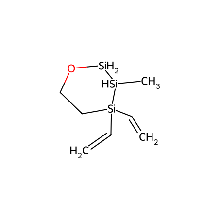 C=C[Si]1(C=C)CCO[SiH2][SiH]1C